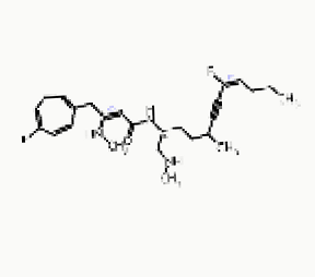 CCC/C=C(/F)C#CC(C)CC[C@@H](CNC)NC(=O)/C=C(/CC1=CCC=C(F)C=C1)NC